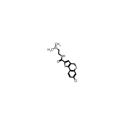 C[As](C)CCNC(=O)c1cc2c(s1)-c1ccc(Cl)cc1SC2